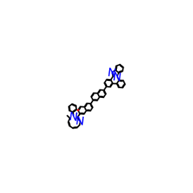 CC1/C=C\C=C/C/N=C(/c2ccc3cc(-c4ccc5cc(-c6ccc7c(c6)c6ccccc6n6c8ccccc8nc76)ccc5c4)ccc3c2)N1c1ccccc1